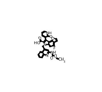 CCOC(=O)Nc1cc(Cn2c(C(=O)O)c(-c3ccc[nH]c3=O)c3c4occc4c(F)cc32)c2ccccc2n1